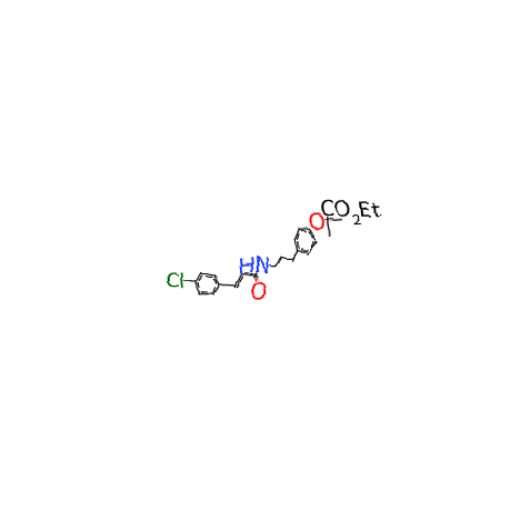 CCOC(=O)C(C)(C)Oc1ccc(CCCNC(=O)C=Cc2ccc(Cl)cc2)cc1